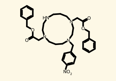 O=C(CN1CCCN(Cc2ccc([N+](=O)[O-])cc2)CCN(CC(=O)OCc2ccccc2)CCCNCC1)OCc1ccccc1